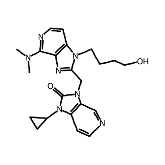 CN(C)c1nccc2c1nc(Cn1c(=O)n(C3CC3)c3ccncc31)n2CCCCO